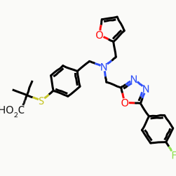 CC(C)(Sc1ccc(CN(Cc2ccco2)Cc2nnc(-c3ccc(F)cc3)o2)cc1)C(=O)O